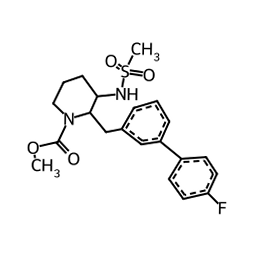 COC(=O)N1CCCC(NS(C)(=O)=O)C1Cc1cccc(-c2ccc(F)cc2)c1